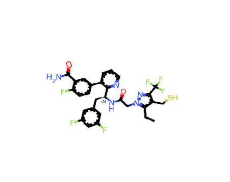 CCc1c(CS)c(C(F)(F)F)nn1CC(=O)N[C@@H](Cc1cc(F)cc(F)c1)c1ncccc1-c1ccc(F)c(C(N)=O)c1